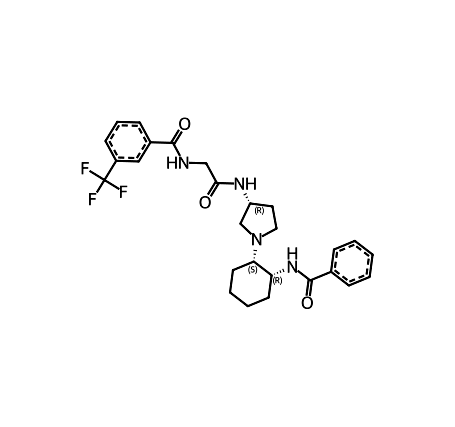 O=C(CNC(=O)c1cccc(C(F)(F)F)c1)N[C@@H]1CCN([C@H]2CCCC[C@H]2NC(=O)c2ccccc2)C1